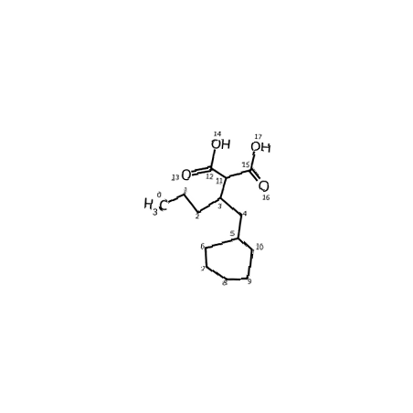 CCCC(CC1CCCCC1)C(C(=O)O)C(=O)O